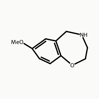 COc1ccc2c(c1)CNCCO2